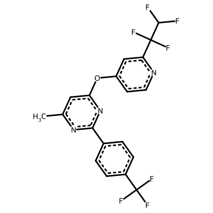 Cc1cc(Oc2ccnc(C(F)(F)C(F)F)c2)nc(-c2ccc(C(F)(F)F)cc2)n1